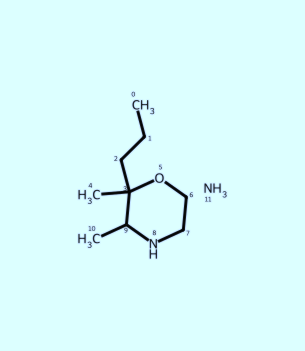 CCCC1(C)OCCNC1C.N